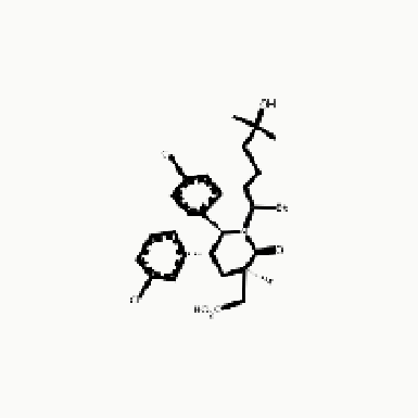 CCC(CCCC(C)(C)O)N1C(=O)[C@@](C)(CC(=O)O)C[C@H](c2cccc(Cl)c2)[C@H]1c1ccc(Cl)cc1